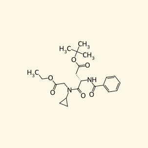 CCOC(=O)CN(C(=O)[C@H](CC(=O)OC(C)(C)C)NC(=O)c1ccccc1)C1CC1